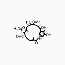 CO[C@H]1C[C@H](C)[C@@H](O)c2cc(cc(O)c2C)NC(=O)/C(C)=C/CC[C@H](C=O)[C@@H](OC(N)=O)/C(C)=C/[C@H](C)[C@H]1O